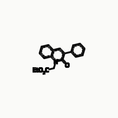 CCOC(=O)Cn1c(=O)c(-c2ccccc2)cc2ccccc21